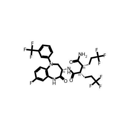 NC(=O)[C@H](CCC(F)(F)F)[C@H](CCC(F)(F)F)C(=O)N[C@H]1CN(c2cccc(C(F)(F)F)c2)c2ccc(F)cc2NC1=O